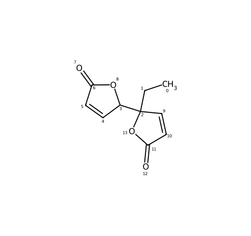 CCC1(C2C=CC(=O)O2)C=CC(=O)O1